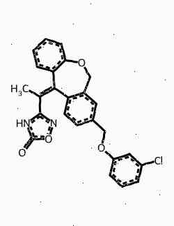 C/C(=C1/c2ccc(COc3cccc(Cl)c3)cc2COc2ccccc21)c1noc(=O)[nH]1